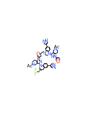 CC(=O)N1CCc2c(c(N3C[C@@H](CC(F)F)Cc4cc(-c5cnn(C)c5)ccc43)nn2[C@@H]2COC(CN3CCN(c4nn([C@H]5CCOC5)c5c4CN(C(C)=O)CC5)c4ccc(-c5cnn(C)c5)cc43)C2)C1